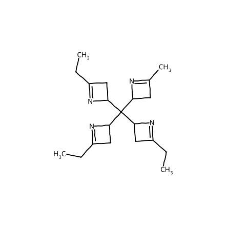 CCC1=NC(C(C2CC(C)=N2)(C2CC(CC)=N2)C2CC(CC)=N2)C1